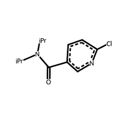 CC(C)N(C(=O)c1ccc(Cl)nc1)C(C)C